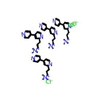 C[N+](C)(C)CCCc1cc(-c2ccncc2)ccn1.C[N+](C)(C)CCCc1cc(-c2ccncc2)ccn1.C[N+](C)(C)CCCc1cc(-c2ccncc2)ccn1.C[N+](C)(C)CCCc1cc(-c2ccncc2)ccn1.[Cl-].[Cl-].[Cl-].[Cl-]